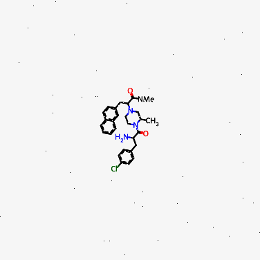 CNC(=O)C(Cc1ccc2ccccc2c1)N1CCN(C(=O)C(N)Cc2ccc(Cl)cc2)C(C)C1